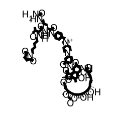 COc1cc(N2CCC([N+](C)(C)Cc3ccc(NC(=O)[C@H](CCCNC(N)=O)NC(=O)[C@@H](NC(=O)CCCCCN4C(=O)C=CC4=O)C(C)C)cc3)CC2)cc2oc3c4c(=O)c5c(O)c(C)c6c(c5c-3nc12)C(=O)[C@@](C)(O/C=C/[C@H](OC)[C@@H](C)[C@@H](OC(C)=O)[C@H](C)[C@H](O)[C@H](C)[C@@H](O)[C@@H](C)/C=C/C=C(/C)C(=O)N4)O6